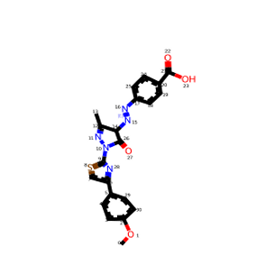 COc1ccc(-c2csc(N3N=C(C)C(/N=N/c4ccc(C(=O)O)cc4)C3=O)n2)cc1